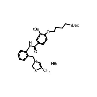 Br.CCCCCCCCCCCCCCOc1ccc(C(=O)Nc2ccccc2CN2C=C(C)SC2)cc1C(C)(C)C